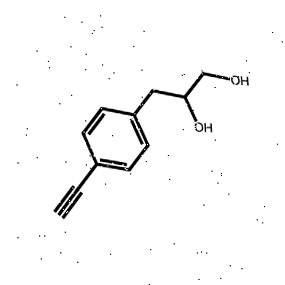 C#Cc1ccc(CC(O)CO)cc1